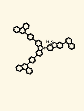 c1ccc2c(-c3ccc4c(c3)[SiH2]c3cc(-n5c6ccc(-c7ccc(-c8cc9ccccc9c9ccccc89)cc7)cc6c6cc(-c7ccc(-c8cc9ccccc9c9ccccc89)cc7)ccc65)ccc3-4)cccc2c1